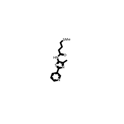 CSCCCC(=O)Nc1sc(-c2cccnc2)nc1C